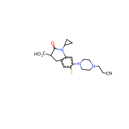 N#CCCN1CCN(c2cc3c(cc2F)CC(C(=O)O)C(=O)N3C2CC2)CC1